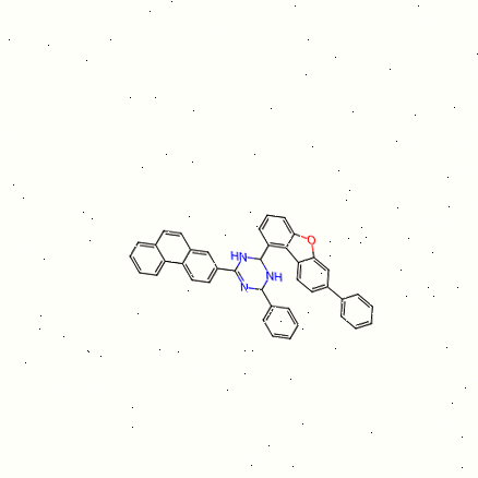 c1ccc(-c2ccc3c(c2)oc2cccc(C4NC(c5ccc6c(ccc7ccccc76)c5)=NC(c5ccccc5)N4)c23)cc1